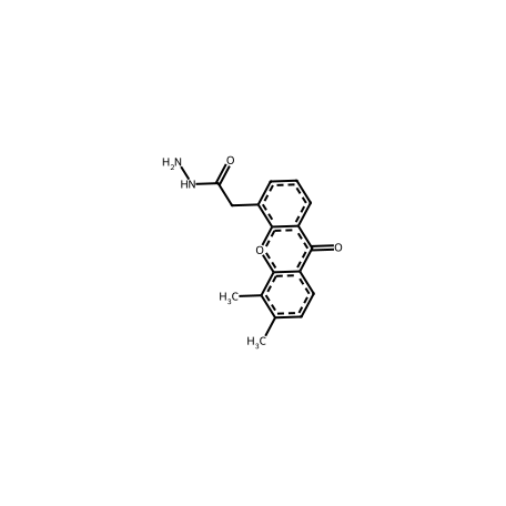 Cc1ccc2c(=O)c3cccc(CC(=O)NN)c3oc2c1C